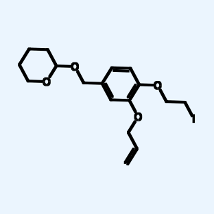 C=CCOc1cc(COC2CCCCO2)ccc1OCCI